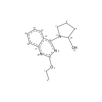 CCOc1nc(N2CCCC2O)c2ccccc2n1